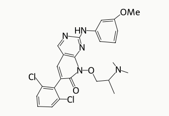 COc1cccc(Nc2ncc3cc(-c4c(Cl)cccc4Cl)c(=O)n(OCC(C)N(C)C)c3n2)c1